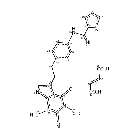 Cn1c(=O)c2c(ncn2CCc2ccc(NC(=N)c3cccs3)cc2)n(C)c1=O.O=C(O)/C=C/C(=O)O